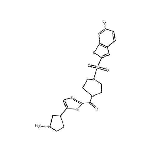 CN1CCC(c2cnc(C(=O)N3CCN(S(=O)(=O)c4cc5ccc(Cl)cc5s4)CC3)s2)C1